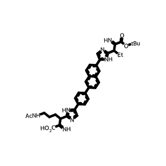 CCC(C(=N)C(=O)OC(C)(C)C)c1ncc(-c2ccc3cc(-c4ccc(-c5cnc(C(CCCNC(C)=O)C(=N)C(=O)O)[nH]5)cc4)ccc3c2)[nH]1